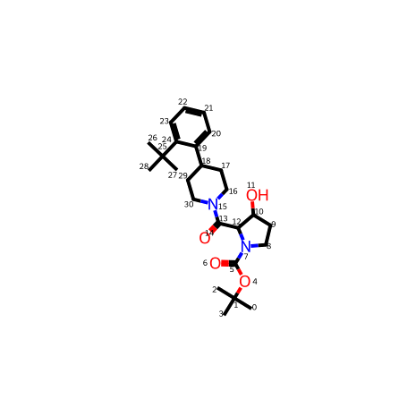 CC(C)(C)OC(=O)N1CCC(O)C1C(=O)N1CCC(c2ccccc2C(C)(C)C)CC1